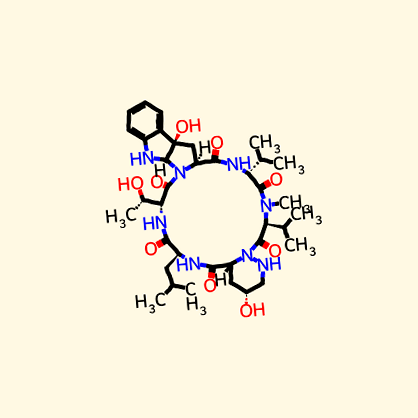 CC(C)C[C@@H]1NC(=O)[C@H]2C[C@@H](O)CNN2C(=O)[C@H](C(C)C)N(C)C(=O)[C@@H](C(C)C)NC(=O)[C@@H]2C[C@@]3(O)c4ccccc4N[C@H]3N2C(=O)[C@@H]([C@H](C)O)NC1=O